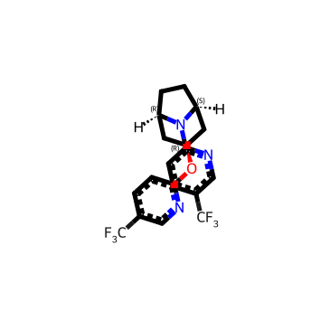 FC(F)(F)c1ccc(O[C@H]2C[C@H]3CC[C@@H](C2)N3c2ccc(C(F)(F)F)cn2)nc1